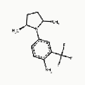 C[C@@H]1CC[C@H](C)N1c1ccc(N)c(C(F)(F)F)c1